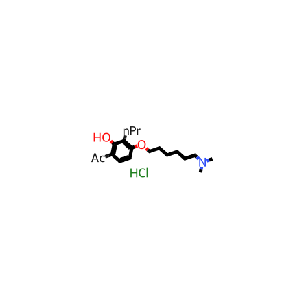 CCCc1c(OCCCCCCN(C)C)ccc(C(C)=O)c1O.Cl